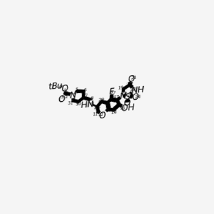 CC(C)(C)OC(=O)N1CCC(CN[C@@H]2COc3cc(O)c(N4CC(=O)NS4(=O)=O)c(F)c3C2)CC1